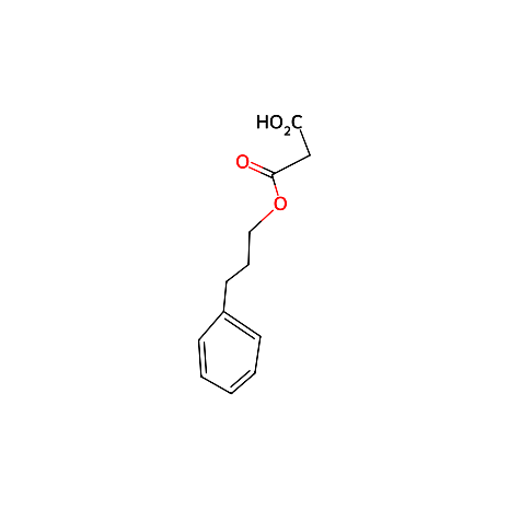 O=C(O)CC(=O)OCCCc1ccccc1